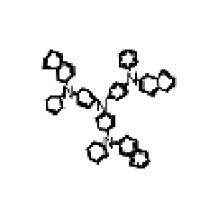 C1=CCC(N(c2ccc(N(C3=CCC(N(c4ccc5ccccc5c4)C4C=CC=CC4)C=C3)c3ccc(N(C4=CC=C5C=CC=CC5C4)c4ccccc4)cc3)cc2)c2ccc3ccccc3c2)C=C1